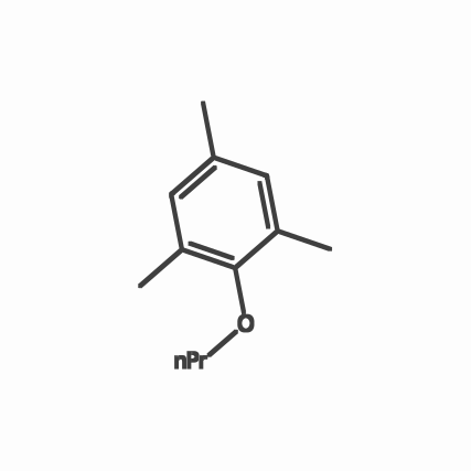 CCCOc1c(C)cc(C)cc1C